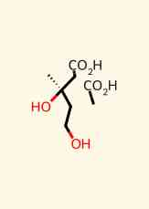 CC(=O)O.C[C@@](O)(CCO)CC(=O)O